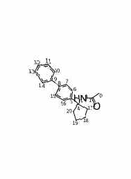 CC(=O)NC1(c2ccc(-c3ccccc3)cc2)CCCC1